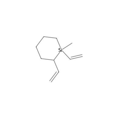 C=CC1CCCC[Si]1(C)C=C